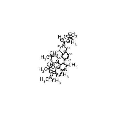 Cc1nc(C)c(C(OC(C)(C)C)C(=O)OC(C)C)c(N2CCC(C)(C)CC2)c1-c1ccc2c(c1)CCN(C(=O)OC(C)(C)C)C2